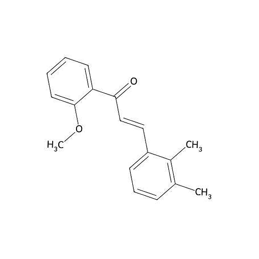 COc1ccccc1C(=O)C=Cc1cccc(C)c1C